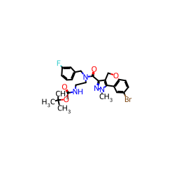 Cn1nc(C(=O)N(CCNC(=O)OC(C)(C)C)Cc2cccc(F)c2)c2c1-c1cc(Br)ccc1OC2